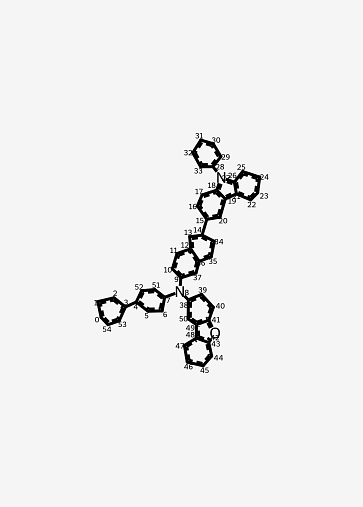 c1ccc(-c2ccc(N(c3ccc4cc(-c5ccc6c(c5)c5ccccc5n6-c5ccccc5)ccc4c3)c3ccc4oc5ccccc5c4c3)cc2)cc1